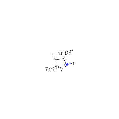 CC(=O)O.CCC1=CN(C)CC1